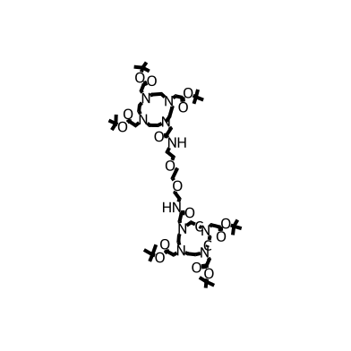 CC(C)(C)OC(=O)CN1CCN(CC(=O)NCCOCCOCCNC(=O)CN2CCN(CC(=O)OC(C)(C)C)CCN(CC(=O)OC(C)(C)C)CCN(CC(=O)OC(C)(C)C)CC2)CCN(CC(=O)OC(C)(C)C)CCN(CC(=O)OC(C)(C)C)CC1